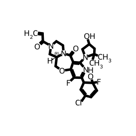 C=CC(=O)N1CCN2C(=O)c3c(N4CC(O)CC4(C)C)nc(C4C=C(Cl)C=CC4(O)F)c(F)c3OC[C@H]2C1